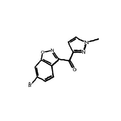 Cn1ccc(C(=O)c2noc3cc(Br)ccc23)n1